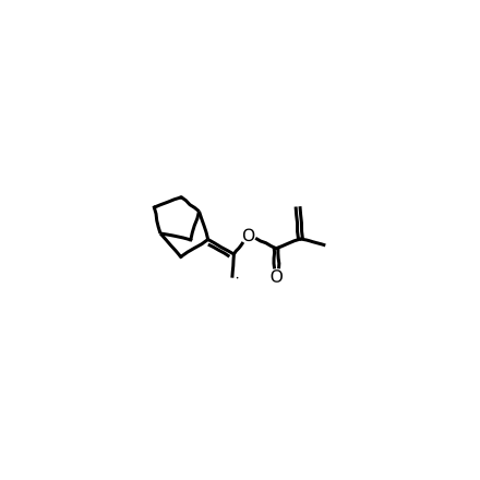 [CH2]C(OC(=O)C(=C)C)=C1CC2CCC1C2